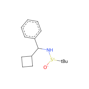 CC(C)(C)[S+]([O-])NC(c1ccccc1)C1CCC1